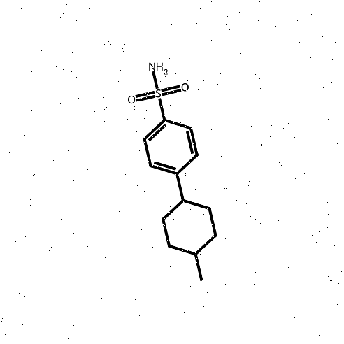 CC1CCC(c2ccc(S(N)(=O)=O)cc2)CC1